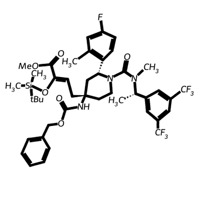 COC(=O)C(=CC[C@]1(NC(=O)OCc2ccccc2)CCN(C(=O)N(C)[C@@H](C)c2cc(C(F)(F)F)cc(C(F)(F)F)c2)[C@@H](c2ccc(F)cc2C)C1)O[Si](C)(C)C(C)(C)C